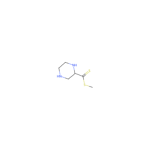 CSC(=S)C1CNCCN1